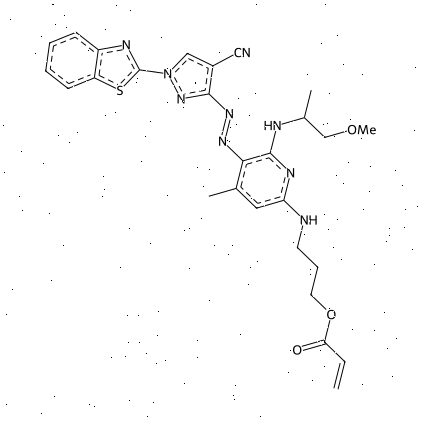 C=CC(=O)OCCCNc1cc(C)c(N=Nc2nn(-c3nc4ccccc4s3)cc2C#N)c(NC(C)COC)n1